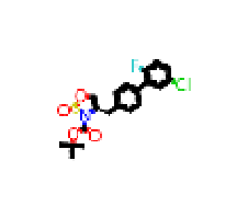 CC(C)(C)OC(=O)N1[C@H](Cc2ccc(-c3cc(Cl)ccc3F)cc2)COS1=O